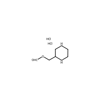 Cl.Cl.O=COCC1CNCCN1